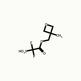 CC1(COC(=O)C(F)(F)S(=O)(=O)O)COC1